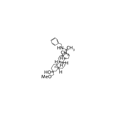 COC[C@@]1(O)CC[C@H]2[C@H](CC[C@@H]3[C@@H]2CC[C@]2(C)[C@@H]([C@@H](C)NCc4ccccc4)CC[C@@H]32)C1